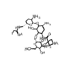 N=C(CF)NC[C@@H]1CCC(N)[C@@H](OC2C(O)C(O[C@H]3OC(CO)C(O)[C@H](N)C3O)[C@H](NC(=O)C3(O)CNC3)C[C@@H]2N)O1